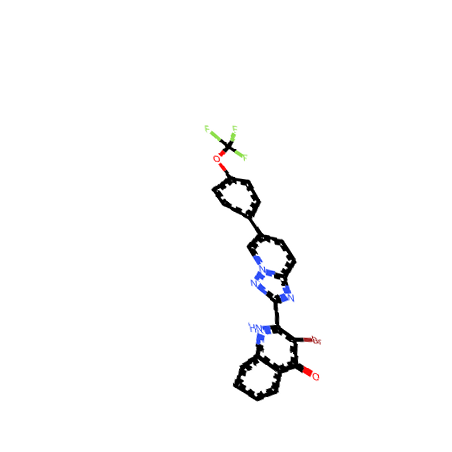 O=c1c(Br)c(-c2nc3ccc(-c4ccc(OC(F)(F)F)cc4)cn3n2)[nH]c2ccccc12